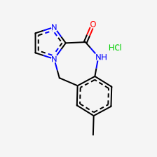 Cc1ccc2c(c1)Cn1ccnc1C(=O)N2.Cl